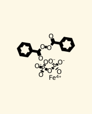 O=C(OOC(=O)c1ccccc1)c1ccccc1.O=P([O-])([O-])OP(=O)([O-])[O-].[Fe+4]